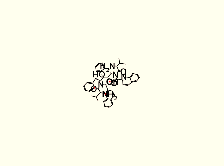 CC(C)[C@H](N)C(=O)N(C(=O)c1ccc2ccccc2n1)[C@@H](Cc1ccccc1)[C@H](O)[C@@H](O)[C@H](Cc1ccccc1)N(C(=O)c1ccc2ccccc2n1)C(=O)[C@@H](N)C(C)C